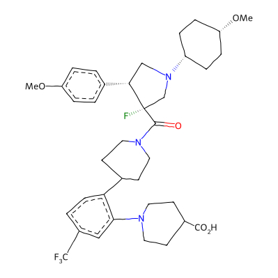 COc1ccc([C@@H]2CN([C@H]3CC[C@@H](OC)CC3)C[C@@]2(F)C(=O)N2CCC(c3ccc(C(F)(F)F)cc3N3CCC(C(=O)O)CC3)CC2)cc1